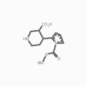 CC(C)(C)OC(=O)n1cccc1C1CCNCC1C(=O)O